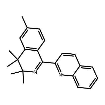 Cc1ccc2c(c1)C(C)(C)C(C)(C)N=C2c1ccc2ccccc2n1